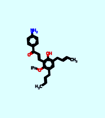 CC=CCc1cc(CC=CC)c(OC(C)C)c(C=CC(=O)c2ccc(N)cc2)c1O